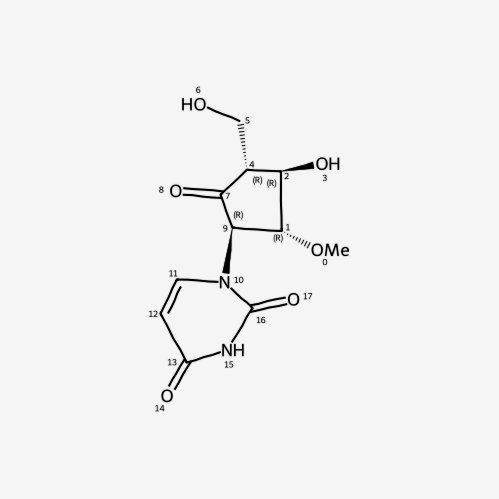 CO[C@H]1[C@H](O)[C@@H](CO)C(=O)[C@@H]1n1ccc(=O)[nH]c1=O